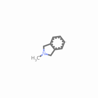 CN1Cc2c[c]ccc2C1